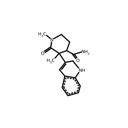 CN1CCC(C(N)=O)C(C)(C2=Cc3ccccc3NC2)C1=O